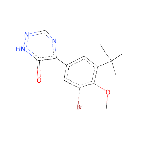 COc1c(Br)cc(-c2ncn[nH]c2=O)cc1C(C)(C)C